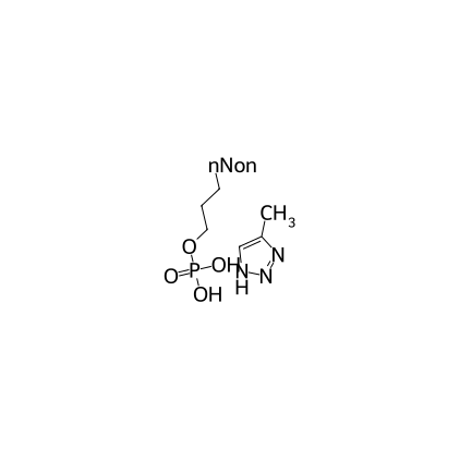 CCCCCCCCCCCCOP(=O)(O)O.Cc1c[nH]nn1